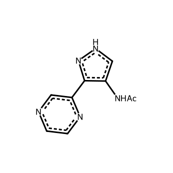 CC(=O)Nc1c[nH]nc1-c1cnccn1